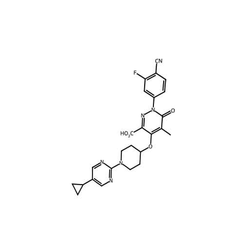 Cc1c(OC2CCN(c3ncc(C4CC4)cn3)CC2)c(C(=O)O)nn(-c2ccc(C#N)c(F)c2)c1=O